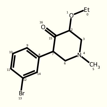 CCOC1CN(C)CC(c2cccc(Br)c2)C1=O